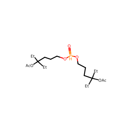 CCC(CC)(CCCO[PH](=O)OCCCC(CC)(CC)OC(C)=O)OC(C)=O